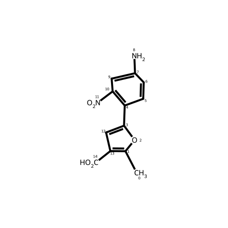 Cc1oc(-c2ccc(N)cc2[N+](=O)[O-])cc1C(=O)O